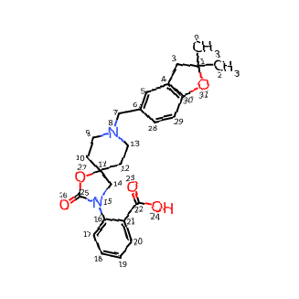 CC1(C)Cc2cc(CN3CCC4(CC3)CN(c3ccccc3C(=O)O)C(=O)O4)ccc2O1